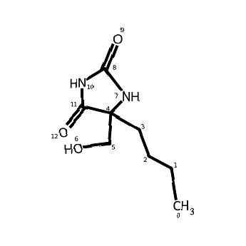 CCCCC1(CO)NC(=O)NC1=O